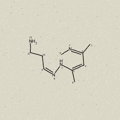 C/N=C(C)\C=C(\C)N/N=C\CCN